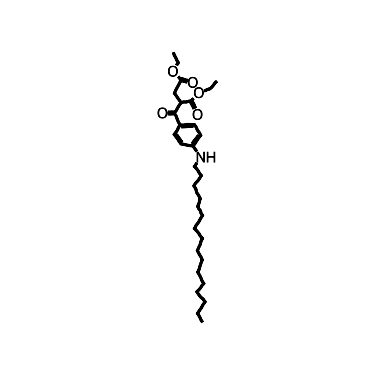 CCCCCCCCCCCCCCCCNc1ccc(C(=O)C(CC(=O)OCC)C(=O)OCC)cc1